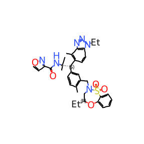 CC[C@@H]1CN(Cc2cc([C@@H](c3ccc4c(nnn4CC)c3C)C(C)(C)NC(=O)c3ccon3)ccc2C)S(=O)(=O)c2ccccc2O1